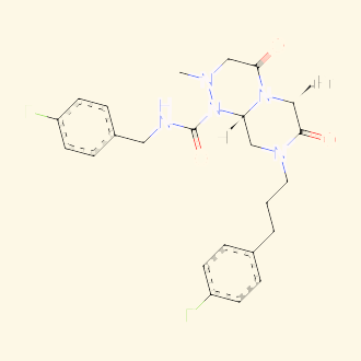 CC(C)[C@H]1C(=O)N(CCCc2ccc(F)cc2)C[C@H]2N1C(=O)CN(C)N2C(=O)NCc1ccc(F)cc1